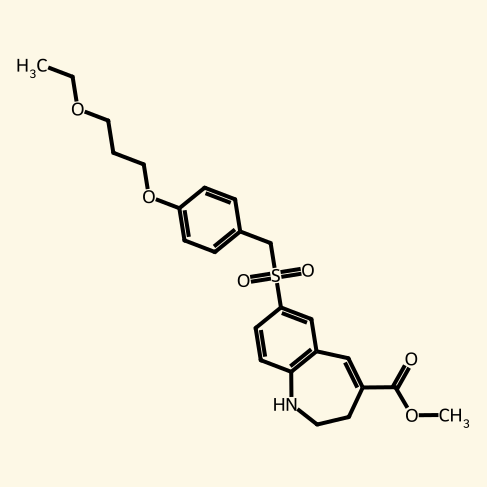 CCOCCCOc1ccc(CS(=O)(=O)c2ccc3c(c2)C=C(C(=O)OC)CCN3)cc1